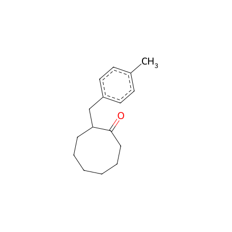 Cc1ccc(CC2CCCCCCC2=O)cc1